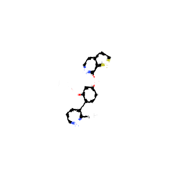 COc1cc(Oc2nccc3ccsc23)ccc1-c1cccnc1C